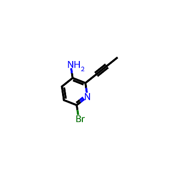 CC#Cc1nc(Br)ccc1N